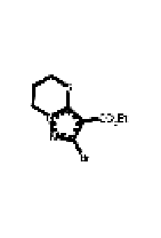 CCOC(=O)c1c(Br)nn2c1SCCC2